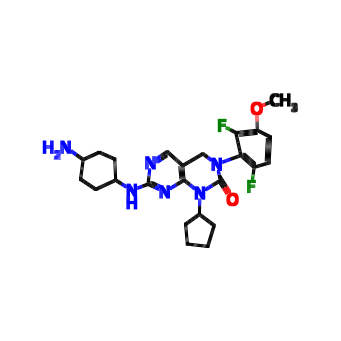 COc1ccc(F)c(N2Cc3cnc(NC4CCC(N)CC4)nc3N(C3CCCC3)C2=O)c1F